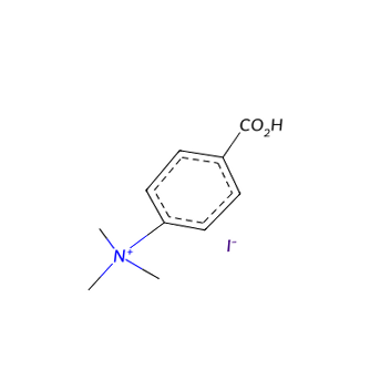 C[N+](C)(C)c1ccc(C(=O)O)cc1.[I-]